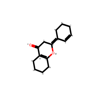 O=C1CC(=C2C=CCCC2)OC2=C1CCCC2